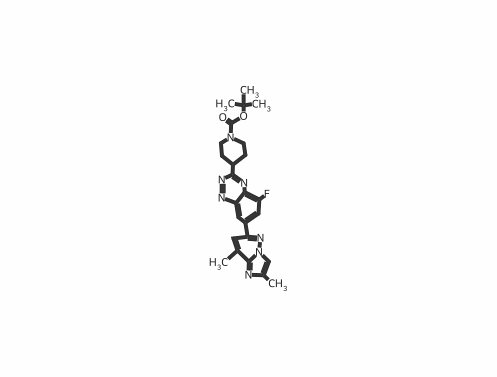 Cc1cn2nc(-c3cc(F)c4nc(C5CCN(C(=O)OC(C)(C)C)CC5)nnc4c3)cc(C)c2n1